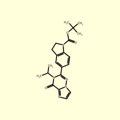 CC(C)n1c(-c2ccc3c(c2)CCN3C(=O)OC(C)(C)C)nn2ccnc2c1=O